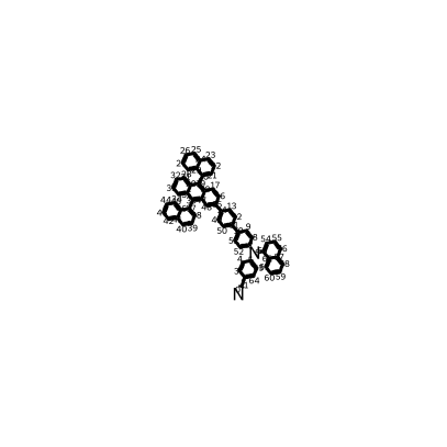 N#Cc1ccc(N(c2ccc(-c3ccc(-c4ccc5c(-c6cccc7ccccc67)c6ccccc6c(-c6cccc7ccccc67)c5c4)cc3)cc2)c2cccc3ccccc23)cc1